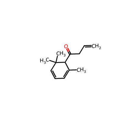 C=CCC(=O)C1C(C)=CC=CC1(C)C